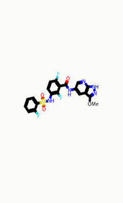 COc1n[nH]c2ncc(NC(=O)c3c(F)ccc(NS(=O)(=O)c4ccccc4F)c3F)cc12